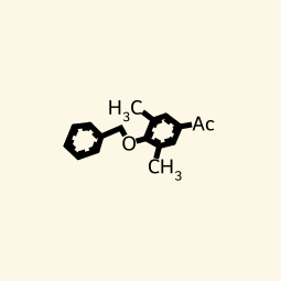 CC(=O)c1cc(C)c(OCc2ccccc2)c(C)c1